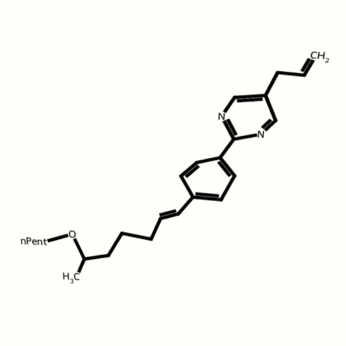 C=CCc1cnc(-c2ccc(C=CCCCC(C)OCCCCC)cc2)nc1